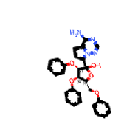 Nc1ncnn2c(C3(O)O[C@H](COc4ccccc4)[C@@H](Oc4ccccc4)[C@H]3Oc3ccccc3)ccc12